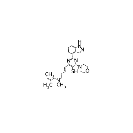 C/C=C(/C)CN(C)/C=C/C=C/c1nc(-c2cccc3[nH]ncc23)nc(N2CCOCC2)c1S